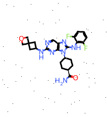 NC(=O)[C@H]1CC[C@@H](n2c(Nc3c(F)cccc3F)nc3cnc(NC4CC5(COC5)C4)nc32)CC1